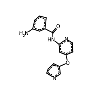 Nc1cccc(C(=O)Nc2cc(Oc3cccnc3)ccn2)c1